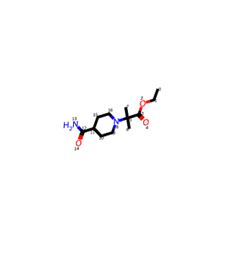 CCOC(=O)C(C)(C)N1CCC(C(N)=O)CC1